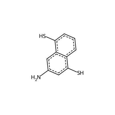 Nc1cc(S)c2cccc(S)c2c1